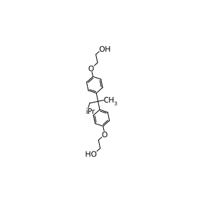 CC(C)CC(C)(c1ccc(OCCO)cc1)c1ccc(OCCO)cc1